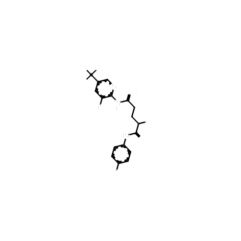 C=C(CCC(C)C(=O)Nc1ccc(F)cc1)Nc1ncc(C(F)(F)F)cc1F